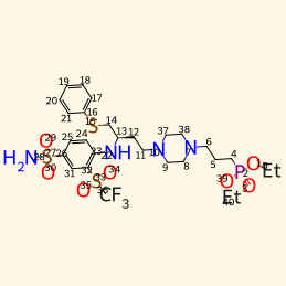 CCOP(=O)(CCCN1CCN(CC[C@H](CSc2ccccc2)Nc2ccc(S(N)(=O)=O)cc2S(=O)(=O)C(F)(F)F)CC1)OCC